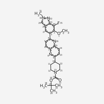 COc1c(-c2ccc3nc(C4CCN(C(=O)OC(C)(C)C)CC4)ccc3n2)cc2cn(C)nc2c1F